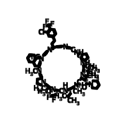 CC(C)C[C@@H]1NC[C@H](CC(F)(F)F)NC(C)[C@H](C)N2CCCC2=CN(C)C(CC2CCCCC2)=CN(C)C=CN=C(CCc2ccc(C(F)(F)F)c(Cl)c2)C=CN=CCNCC2(CCCC2)NC(C)[C@H](C(C)C)N2C(C)[C@H](C(=O)N3CCCCC3)C2CNC1C